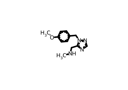 CNCc1ncnn1Cc1ccc(OC)cc1